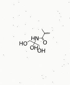 C=C(C)C(=O)NC(O)(CO)CO